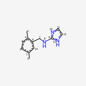 Cc1ccc(C)c(CNc2ncc[nH]2)c1